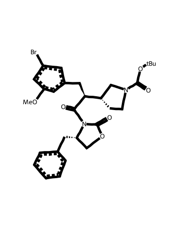 COc1cc(Br)cc(C[C@H](C(=O)N2C(=O)OC[C@@H]2Cc2ccccc2)[C@H]2CCN(C(=O)OC(C)(C)C)C2)c1